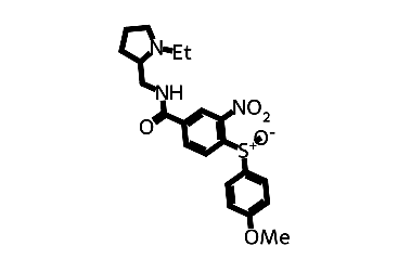 CCN1CCCC1CNC(=O)c1ccc([S+]([O-])c2ccc(OC)cc2)c([N+](=O)[O-])c1